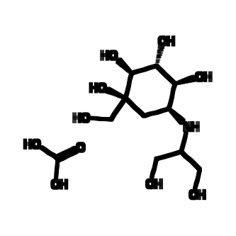 O=C(O)O.OCC(CO)N[C@H]1C[C@](O)(CO)[C@@H](O)[C@H](O)[C@H]1O